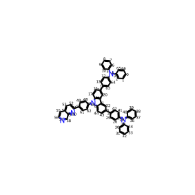 c1ccc(N(c2ccccc2)c2ccc(-c3ccc4c(c3)c3cc(-c5ccc(N(c6ccccc6)c6ccccc6)cc5)ccc3n4-c3ccc(-c4ccc5ccncc5n4)cc3)cc2)cc1